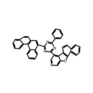 c1ccc(-c2nc(-c3cc4ccc5ccccc5c4c4ccccc34)nc(-c3cncc4oc5c6ccccc6ccc5c34)n2)cc1